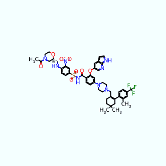 CC(=O)N1CCO[C@H](CNc2ccc(S(=O)(=O)NC(=O)c3ccc(N4CCN(CC5=C(c6ccc(C(F)(F)F)cc6C)CC(C)(C)CC5)CC4)cc3Oc3cnc4[nH]ccc4c3)cc2[N+](=O)[O-])C1